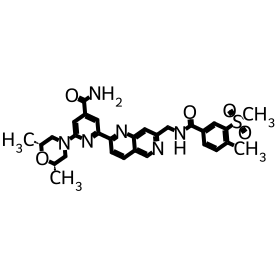 Cc1ccc(C(=O)NCc2cc3nc(-c4cc(C(N)=O)cc(N5C[C@@H](C)O[C@@H](C)C5)n4)ccc3cn2)cc1S(C)(=O)=O